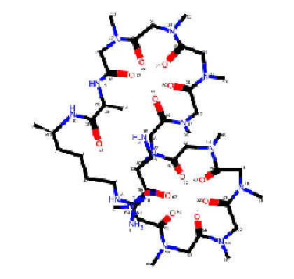 C[C@H](CCCCNC(=N)N)NC(=O)[C@H](C)NC(=O)CN(C)C(=O)CN(C)C(=O)CN(C)C(=O)CN(C)C(=O)CN(C)C(=O)CN(C)C(=O)CN(C)C(=O)CN(C)C(=O)CN(C)C(=O)CN(C)C(=O)CCN